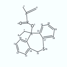 C=C(C)C(=O)OC1(CC)c2ccccc2CSc2ccccc21